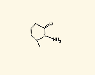 CC1CCCC(=O)N1N